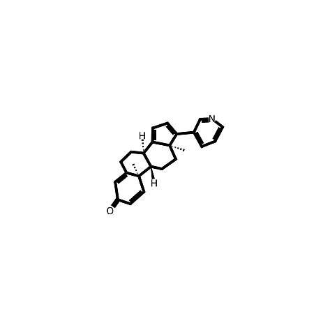 C[C@]12CC[C@H]3[C@@H](CCC4=CC(=O)C=C[C@@]43C)C1=CC=C2c1cccnc1